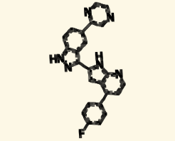 Fc1ccc(-c2ccnc3[nH]c(-c4n[nH]c5ccc(-c6cnccn6)cc45)cc23)cc1